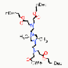 CCCCCCCCCCCCOC(=O)CCN(CCC(=O)OCCCCCCCCCCCC)CCN1C[C@H](C)N(CCN(CCC(=O)OC)CCC(=O)OCCCCCCCCCCCC)C[C@H]1C